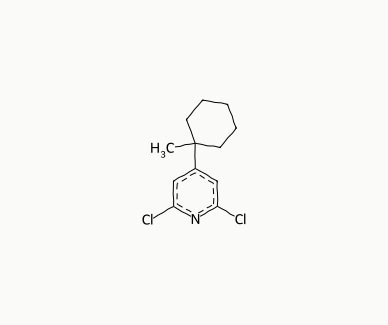 CC1(c2cc(Cl)nc(Cl)c2)CCCCC1